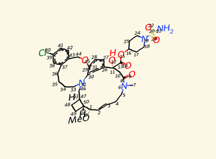 CO[C@H]1/C=C/CCN(C)C(=O)C[C@](O)(C(=O)OC2CCN(S(N)(=O)=O)CC2)c2ccc3c(c2)N(CCCCc2cc(Cl)ccc2CO3)C[C@@H]2CC[C@H]21